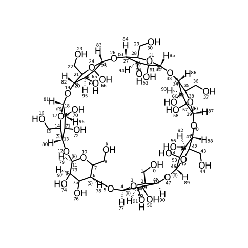 OCC1O[C@@H]2O[C@@H]3C(CO)O[C@H](O[C@@H]4C(CO)O[C@H](O[C@@H]5C(CO)O[C@H](O[C@@H]6C(CO)O[C@H](O[C@@H]7C(CO)O[C@H](O[C@@H]8C(CO)O[C@H](O[C@H]1C(O)[C@H]2O)C(O)[C@H]8O)C(O)[C@H]7O)C(O)[C@H]6O)C(O)[C@H]5O)[C@H](O)C4O)[C@H](O)C3O